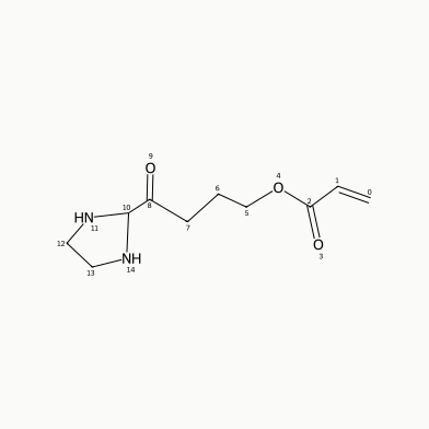 C=CC(=O)OCCCC(=O)C1NCCN1